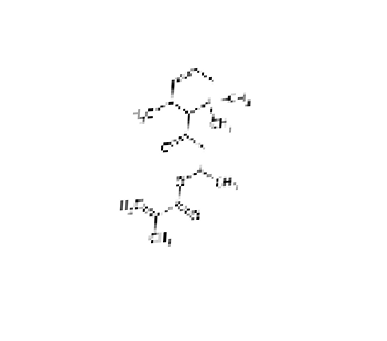 C=C(C)C(=O)OC(C)CC(=O)C1C(C)C=CCC1(C)C